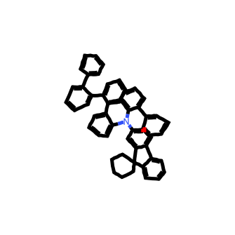 c1ccc(-c2ccccc2-c2ccccc2-c2ccccc2N(c2ccc3c(c2)C2(CCCCC2)c2ccccc2-3)c2ccccc2-c2ccccc2)cc1